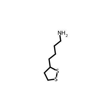 NCCCCC1CCSS1